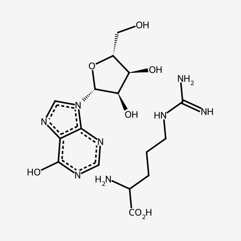 N=C(N)NCCCC(N)C(=O)O.OC[C@H]1O[C@@H](n2cnc3c(O)ncnc32)[C@H](O)[C@@H]1O